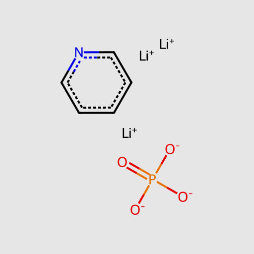 O=P([O-])([O-])[O-].[Li+].[Li+].[Li+].c1ccncc1